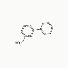 O=C(O)c1cccc(-c2ccccc2)n1